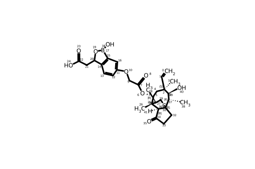 C=C[C@]1(C)C[C@@H](OC(=O)COc2ccc3c(c2)B(O)OC3CC(=O)O)[C@]2(C)[C@H](C)CC[C@]3(CCC(=O)[C@H]32)[C@@H](C)[C@@H]1O